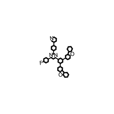 Fc1ccc(-c2cc(-c3cc(-c4ccc5oc6ccccc6c5c4)cc(-c4ccc5oc6ccccc6c5c4)c3)nc(-c3ccc(-c4cccnc4)cc3)n2)cc1